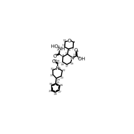 O=C(NO)[C@H]1C(C2CCOCC2)N(C(=O)O)CC[C@@H]1C(=O)N1CCC(c2ccccc2)CC1